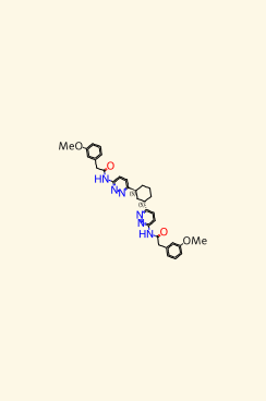 COc1cccc(CC(=O)Nc2ccc([C@H]3CCC[C@H](c4ccc(NC(=O)Cc5cccc(OC)c5)nn4)C3)nn2)c1